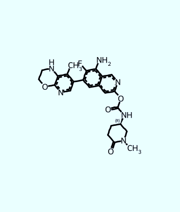 Cc1c(-c2cc3cc(OC(=O)N[C@@H]4CCC(=O)N(C)C4)ncc3c(N)c2F)cnc2c1NCCO2